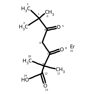 CC(C)(C)C(=O)CC(=O)C(C)(C)C(=O)O.[Er]